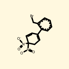 O=[N+]([O-])C1([N+](=O)[O-])C=CC(c2ccccc2CBr)=CC1